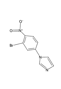 O=[N+]([O-])c1ccc(-n2ccnc2)cc1Br